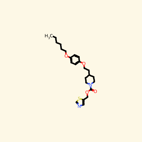 CCCCCCOc1ccc(OCCC2CCN(C(=O)OCc3cncs3)CC2)cc1